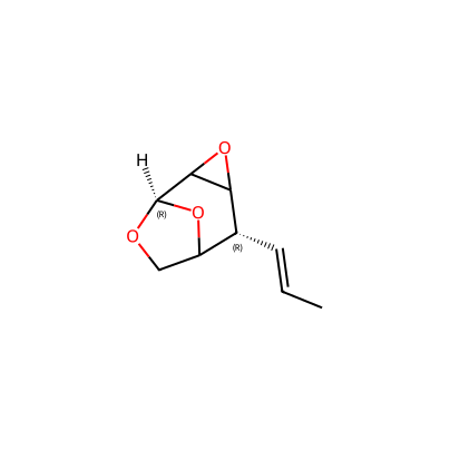 CC=C[C@@H]1C2CO[C@H](O2)C2OC21